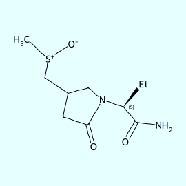 CC[C@@H](C(N)=O)N1CC(C[S+](C)[O-])CC1=O